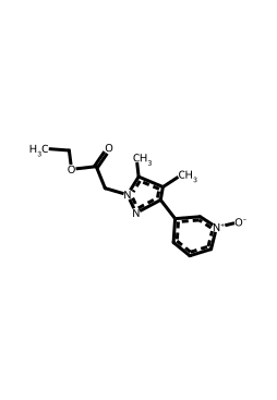 CCOC(=O)Cn1nc(-c2ccc[n+]([O-])c2)c(C)c1C